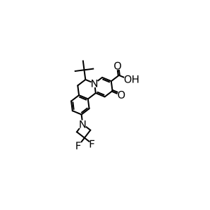 CC(C)(C)C1Cc2ccc(N3CC(F)(F)C3)cc2-c2cc(=O)c(C(=O)O)cn21